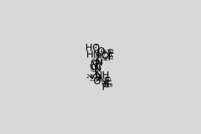 O=C(O)N[C@H](c1cn2ccc(C(NC(=O)CCC(F)(F)F)C3CC3)nc2n1)C1CCC(F)(F)CC1